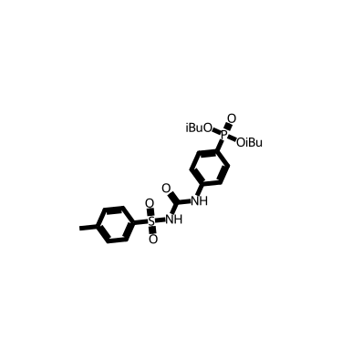 Cc1ccc(S(=O)(=O)NC(=O)Nc2ccc(P(=O)(OCC(C)C)OCC(C)C)cc2)cc1